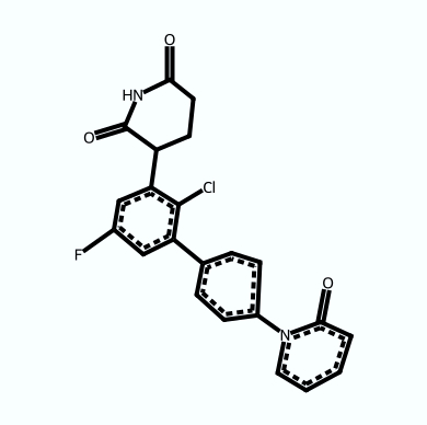 O=C1CCC(c2cc(F)cc(-c3ccc(-n4ccccc4=O)cc3)c2Cl)C(=O)N1